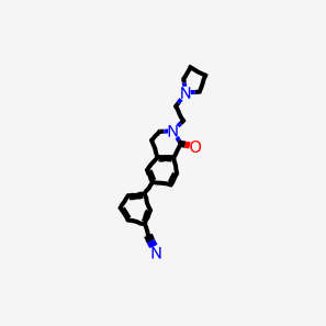 N#Cc1cccc(-c2ccc3c(c2)CCN(CCN2CCCC2)C3=O)c1